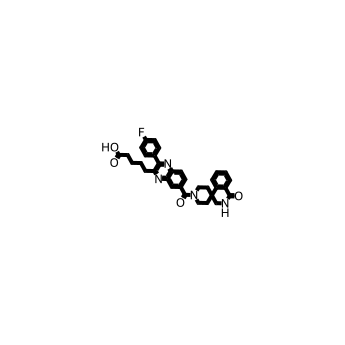 O=C(O)CCCCc1nc2cc(C(=O)N3CCC4(CC3)CNC(=O)c3ccccc34)ccc2nc1-c1ccc(F)cc1